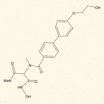 CNC(=O)C(C(=O)NO)N(C)C(=O)c1ccc(-c2ccc(OCCO)cc2)cc1